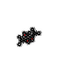 c1ccc(-c2nc(-c3ccccc3)nc(-c3ccnc(-c4c(-n5c6ccccc6c6ccccc65)c(-c5nccc(-c6nc(-c7ccccc7)nc(-c7ccccc7)n6)n5)c5c6ccccc6n(-c6ccccc6)c5c4-c4ccccc4)n3)n2)cc1